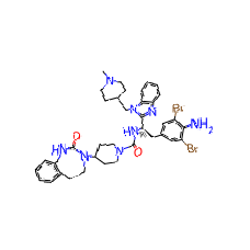 CN1CCC(Cn2c([C@@H](Cc3cc(Br)c(N)c(Br)c3)NC(=O)N3CCC(N4CCc5ccccc5NC4=O)CC3)nc3ccccc32)CC1